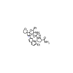 CCc1ccc2ccc(/C=C/C3(C(=O)OC(C(=O)NC(C)C(=O)N4CCCC(C(N)=O)N4)C(C)C)CCCOC3)cc2n1